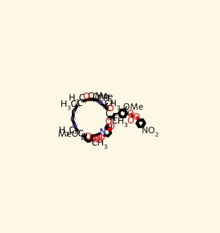 CO[C@H]1C[C@@H]2CC[C@@H](C)[C@@](O)(O2)C(=O)C(=O)N2CCCC[C@H]2C(=O)O[C@H]([C@H](C)C[C@@H]2CC[C@@H](OC(=O)Oc3ccc([N+](=O)[O-])cc3)[C@H](OC)C2)CC(=O)[C@H](C)/C=C(\C)[C@@H](OC)[C@@H](OC)C(=O)[C@H](C)C[C@H](C)/C=C/C=C/C=C/1C